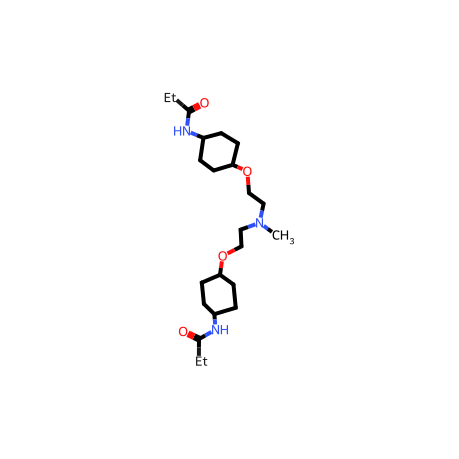 CCC(=O)NC1CCC(OCCN(C)CCOC2CCC(NC(=O)CC)CC2)CC1